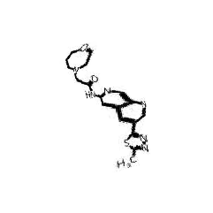 Cc1nnc(-c2cnc3cnc(NC(=O)CN4CCCOCC4)cc3c2)s1